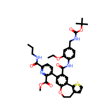 CCCNC(=O)c1ccc(-c2cc3c(cc2C(=O)Nc2ccc(CNC(=O)OC(C)(C)C)cc2OCC)-c2sccc2CCO3)c(C(=O)OC)n1